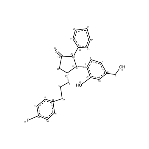 OCc1ccc([C@@H]2[C@H](CCCc3ccc(F)cc3)CC(=S)N2c2ccccc2)c(O)c1